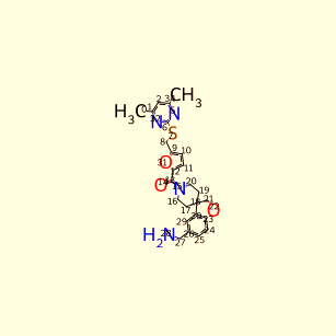 Cc1cc(C)nc(SCc2ccc(C(=O)N3CCC4(CC3)COc3ccc(CN)cc34)o2)n1